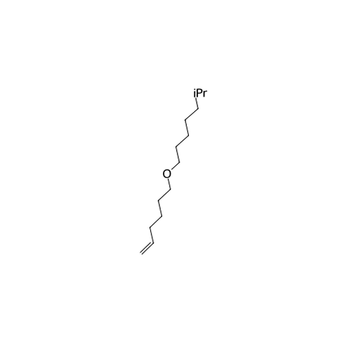 C=CCCCCOCCCCCC(C)C